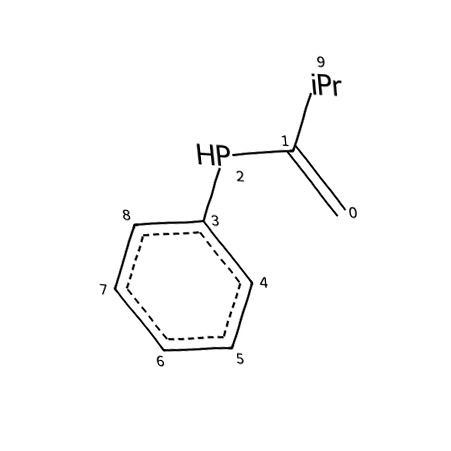 C=C(Pc1ccccc1)C(C)C